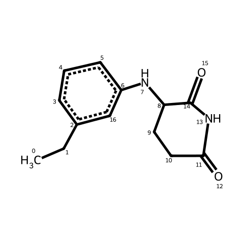 CCc1cccc(NC2CCC(=O)NC2=O)c1